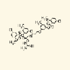 COc1ccc(Cl)cc1S(=O)(=O)Oc1cc(C)cc(OCCC(=NCC(=O)ONC(=N)N)Oc2cc(C)cc(OS(=O)(=O)c3cc(Cl)ccc3OC)c2)c1